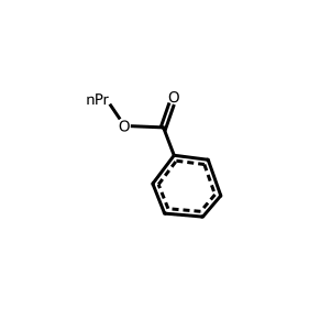 [CH2]CCOC(=O)c1ccccc1